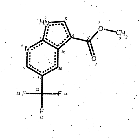 COC(=O)c1c[nH]c2ncc(C(F)(F)F)cc12